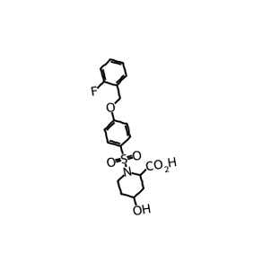 O=C(O)C1CC(O)CCN1S(=O)(=O)c1ccc(OCc2ccccc2F)cc1